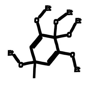 CCOC1=CC(C)(OCC)C=C(OCC)C1(OCC)OCC